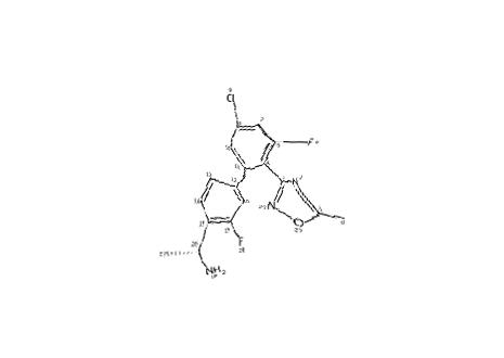 Cc1nc(-c2c(F)cc(Cl)cc2-c2ccc([C@@H](C)N)c(F)c2)no1